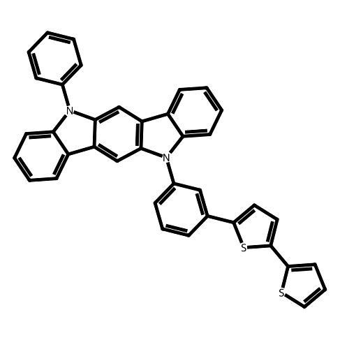 c1ccc(-n2c3ccccc3c3cc4c(cc32)c2ccccc2n4-c2cccc(-c3ccc(-c4cccs4)s3)c2)cc1